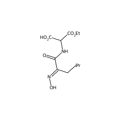 CCOC(=O)C(NC(=O)/C(CC(C)C)=N/O)C(=O)O